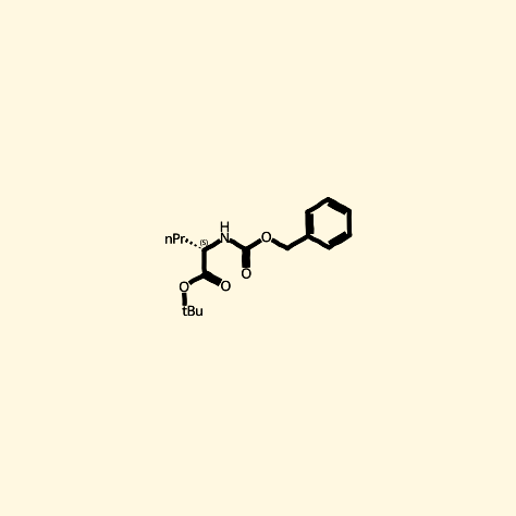 CCC[C@H](NC(=O)OCc1ccccc1)C(=O)OC(C)(C)C